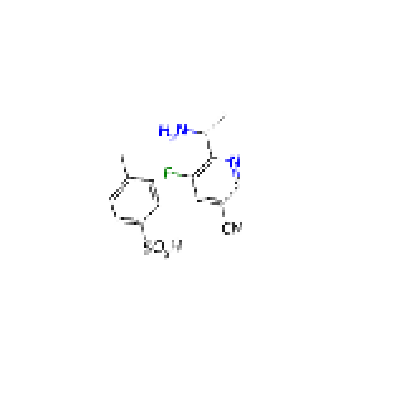 C[C@@H](N)c1ncc(C#N)cc1F.Cc1ccc(S(=O)(=O)O)cc1